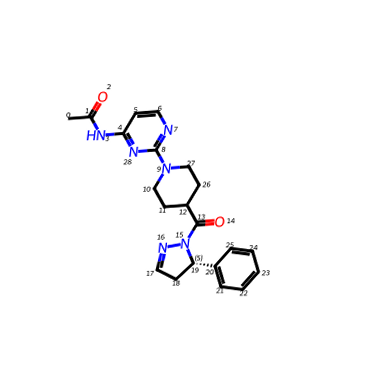 CC(=O)Nc1ccnc(N2CCC(C(=O)N3N=CC[C@H]3c3ccccc3)CC2)n1